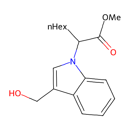 CCCCCCC(C(=O)OC)n1cc(CO)c2ccccc21